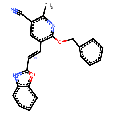 Cc1nc(OCc2ccccc2)c(/C=C/c2nc3ccccc3o2)cc1C#N